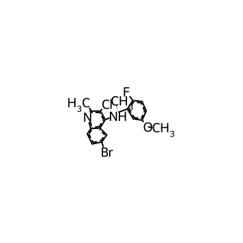 COc1ccc(F)c([C@@H](C)Nc2c(Cl)c(C)nc3ccc(Br)cc23)c1